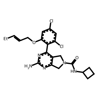 CC/C=C/COc1cc(Cl)cc(Cl)c1-c1nc(N)nc2c1CN(C(=O)NC1CCC1)C2